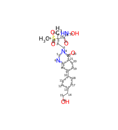 CC(CCn1cnc2cc(-c3ccc(CCO)cc3)ccc2c1=O)(C(=O)NO)S(C)(=O)=O